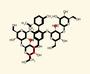 C=C(C)[C@@H]1CCC(C)=C[C@H]1c1c(O[C@@H]2O[C@H](CO)[C@@H](O)[C@H](O[C@@H]3O[C@H](CO)[C@@H](O)[C@H](O)[C@H]3O)[C@H]2O)cc(CCCCC)cc1O[C@@H]1O[C@H](CO)[C@@H](O)[C@H](O[C@@H]2O[C@H](CO)[C@@H](O)[C@H](O)[C@H]2O)[C@H]1O